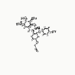 C#CCOc1ccc2c(c1)C(c1ccc(C(C)C)cc1)N=C(O)N2Cc1cc(C(C)(C)C)c(O)c(C(C)(C)C)c1